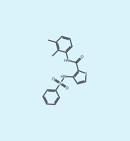 Cc1cccc(NC(=O)c2sccc2NS(=O)(=O)c2ccccc2)c1C